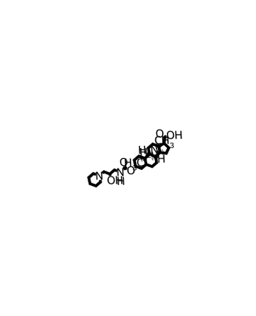 C[C@]12CCC(OC(=O)NCC(O)CN3CCCCC3)CC1CC[C@@H]1[C@H]2CC[C@]2(C)C(C(=O)O)CC[C@@]12N